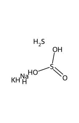 O=S(O)O.S.[KH].[NaH]